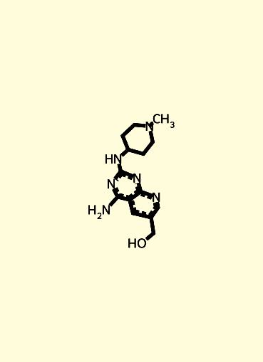 CN1CCC(Nc2nc(N)c3cc(CO)cnc3n2)CC1